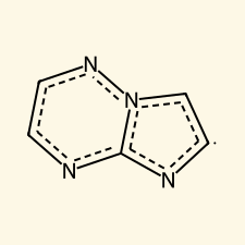 [c]1cn2nccnc2n1